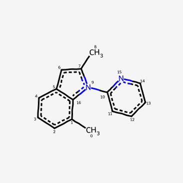 Cc1cccc2cc(C)n(-c3ccccn3)c12